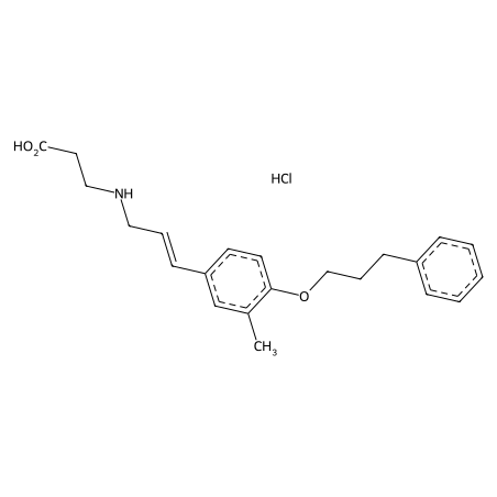 Cc1cc(/C=C/CNCCC(=O)O)ccc1OCCCc1ccccc1.Cl